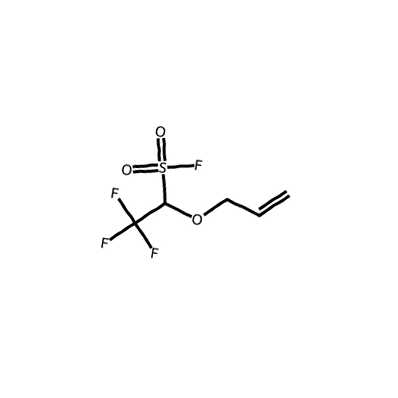 C=CCOC(C(F)(F)F)S(=O)(=O)F